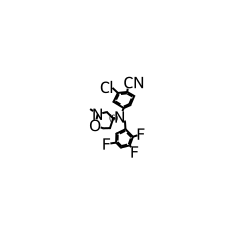 CN1C[C@@H](N(Cc2cc(F)cc(F)c2F)c2ccc(C#N)c(Cl)c2)CCO1